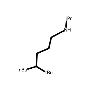 CCCCC(CCCNC(C)C)C(C)(C)C